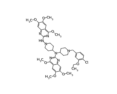 CCOc1cc(CN2CCC(N(c3nc(OC)c4cc(OC)c(OC)cc4n3)C3CCN(Nc4nc(OC)c5cc(OC)c(OC)cc5n4)CC3)CC2)ccc1Cl